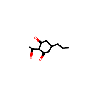 CCCC1CC(=O)C(C(C)=O)C(=O)C1